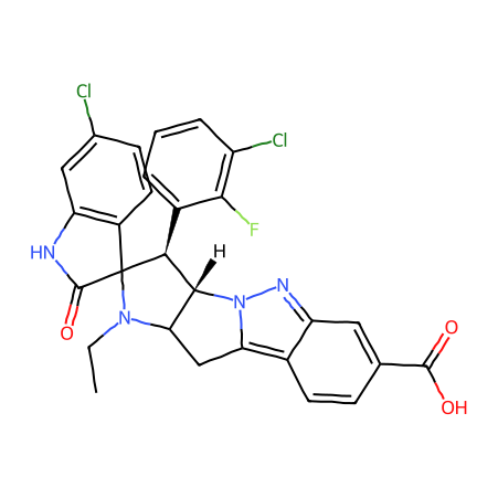 CCN1C2Cc3c4ccc(C(=O)O)cc4nn3[C@H]2[C@H](c2cccc(Cl)c2F)C12C(=O)Nc1cc(Cl)ccc12